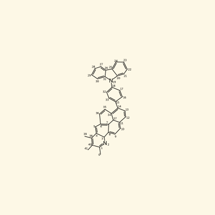 CC1=NC2C(=CC3=C4C2=CC=C2C=CC(c5ccc(-n6c7ccccc7c7ccccc76)cc5)=C(C=C3)C24)C(C)=C1C